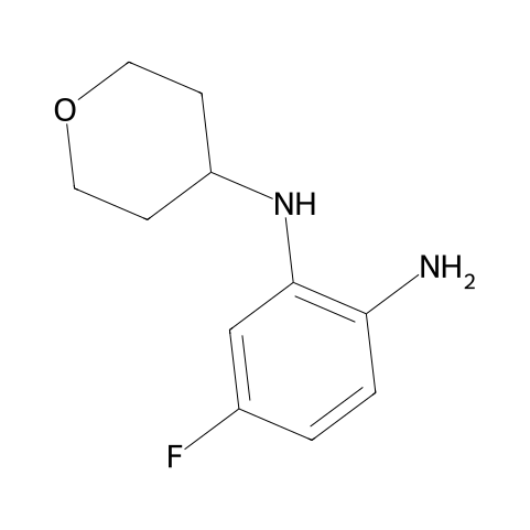 Nc1ccc(F)cc1NC1CCOCC1